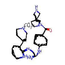 CCOC(=O)N1CC=C(c2ccc[nH]/c2=N\C(=N)Nc2ccc(C(=O)N3CCC4(CNC4)C3)cc2)CC1